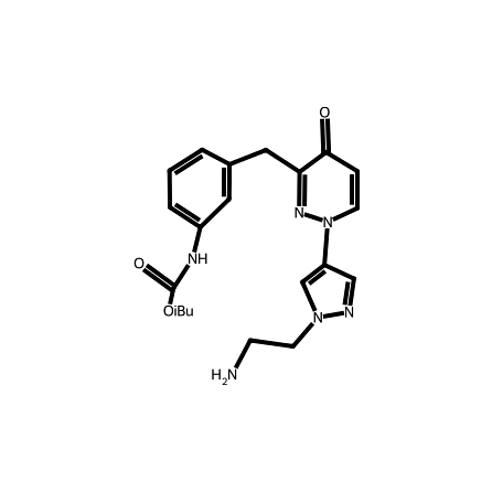 CC(C)COC(=O)Nc1cccc(Cc2nn(-c3cnn(CCN)c3)ccc2=O)c1